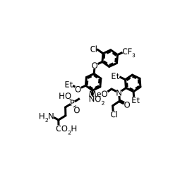 CCOc1cc(Oc2ccc(C(F)(F)F)cc2Cl)ccc1[N+](=O)[O-].CCc1cccc(CC)c1N(COC)C(=O)CCl.CP(=O)(O)CCC(N)C(=O)O